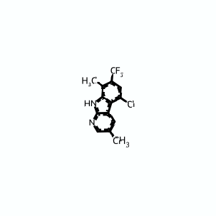 Cc1cnc2[nH]c3c(C)c(C(F)(F)F)cc(Cl)c3c2c1